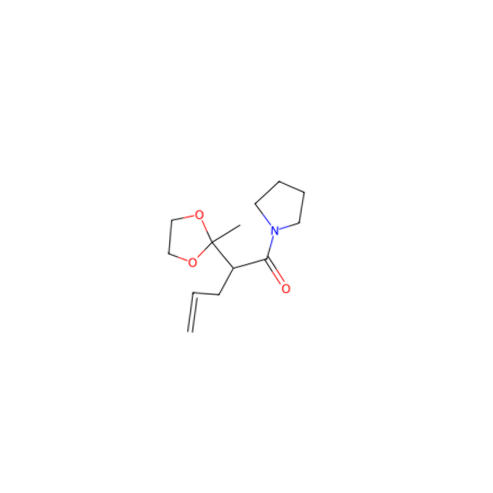 C=CCC(C(=O)N1CCCC1)C1(C)OCCO1